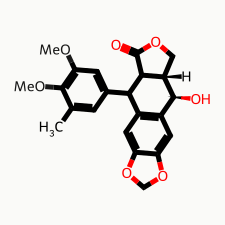 COc1cc(C2c3cc4c(cc3[C@H](O)[C@H]3COC(=O)C23)OCO4)cc(C)c1OC